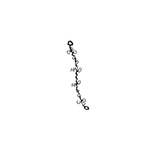 O=C(CCCCCC(=O)NCCOCCOCCC(=O)C(=O)OCc1ccccc1)NCCOCCOCCC(=O)C(=O)OCc1ccccc1